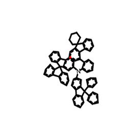 c1ccc(C2(c3ccccc3)c3ccccc3-c3ccc(N(c4ccc5c(c4)C4(c6ccccc6-c6ccccc64)c4ccccc4-5)c4ccccc4-c4cccc5c4-c4ccccc4C54CCCCC4)cc32)cc1